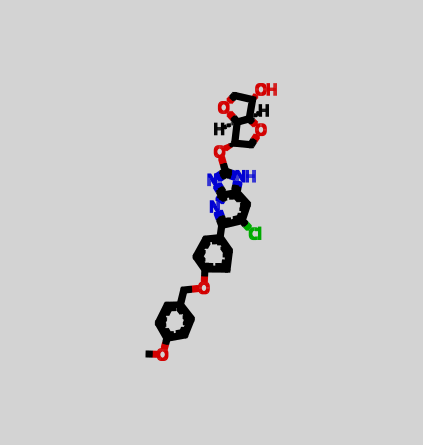 COc1ccc(COc2ccc(-c3nc4nc(O[C@@H]5CO[C@H]6[C@@H]5OC[C@H]6O)[nH]c4cc3Cl)cc2)cc1